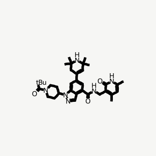 Cc1cc(C)c(CNC(=O)c2cc(C3=CC(C)(C)NC(C)(C)C3)cc3c2cnn3C2CCN(C(=O)C(C)(C)C)CC2)c(=O)[nH]1